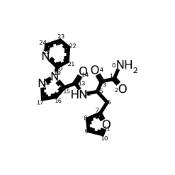 NC(=O)C(=O)C(Cc1ccco1)NC(=O)c1ccnn1-c1ccccn1